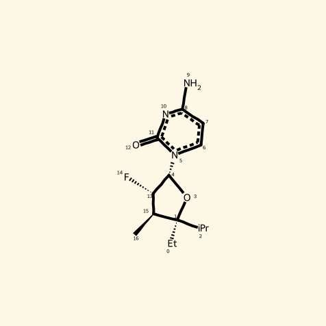 CC[C@@]1(C(C)C)O[C@@H](n2ccc(N)nc2=O)[C@@H](F)[C@@H]1C